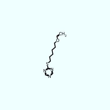 C=COCCCCCCSc1ncncn1